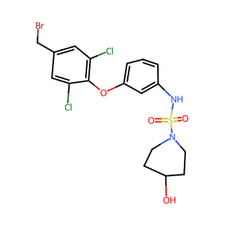 O=S(=O)(Nc1cccc(Oc2c(Cl)cc(CBr)cc2Cl)c1)N1CCC(O)CC1